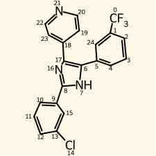 FC(F)(F)c1cccc(-c2[nH]c(-c3cccc(Cl)c3)nc2-c2ccncc2)c1